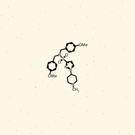 COc1ccc(CN(Cc2ccc(OC)cc2)S(=O)(=O)c2ccn(C3CCN(C)CC3)n2)cc1